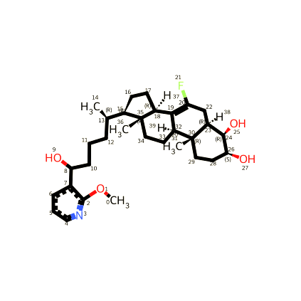 COc1ncccc1C(O)CCC[C@@H](C)[C@H]1CC[C@H]2C3=C(F)C[C@H]4[C@@H](O)[C@@H](O)CC[C@]4(C)[C@H]3CC[C@]12C